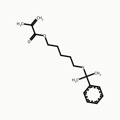 C=C(C)C(=O)OCCCCCSC(C)(C)c1ccccc1